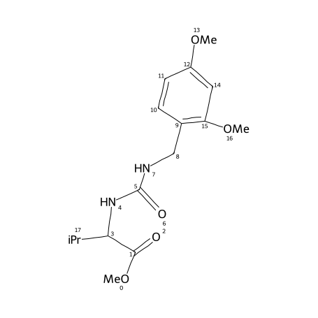 COC(=O)C(NC(=O)NCc1ccc(OC)cc1OC)C(C)C